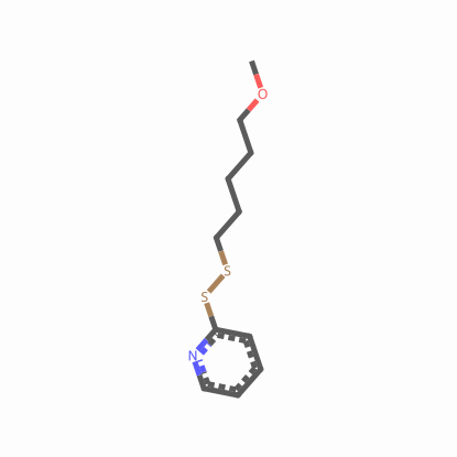 COCCCCCSSc1ccccn1